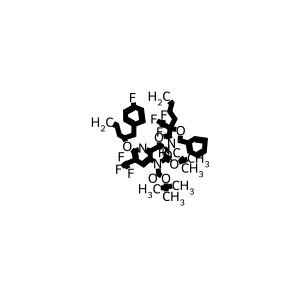 C=CCCC(OCc1ccccc1)(c1nnc(-c2nc(OC(CC=C)Cc3ccc(F)cc3)c(C(F)(F)F)cc2N(C(=O)OC(C)(C)C)C(=O)OC(C)(C)C)o1)C(F)(F)F